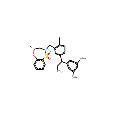 COc1cc(OC)cc(C(CC(=O)O)c2ccc(C)c(CN3C[C@@H](C)Oc4ccccc4S3(=O)=O)c2)c1